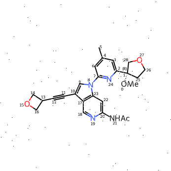 CO[C@@]1(c2cc(C)cc(-n3cc(C#CC4COC4)c4cnc(NC(C)=O)cc43)n2)CCOC1